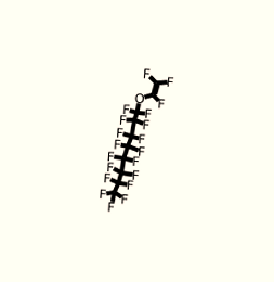 FC(F)=C(F)OC(F)(F)C(F)(F)C(F)(F)C(F)(F)C(F)(F)C(F)(F)C(F)(F)C(F)(F)F